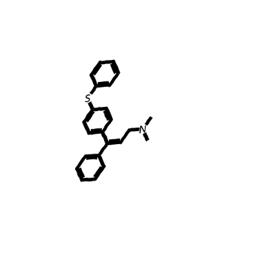 CN(C)CC=C(c1ccccc1)c1ccc(Sc2ccccc2)cc1